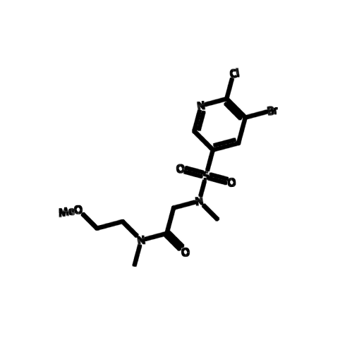 COCCN(C)C(=O)CN(C)S(=O)(=O)c1cnc(Cl)c(Br)c1